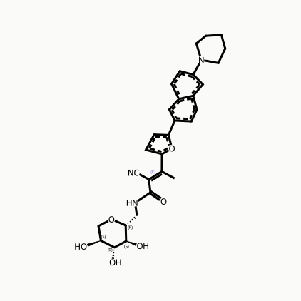 C/C(=C(/C#N)C(=O)NC[C@H]1OC[C@H](O)[C@@H](O)[C@@H]1O)c1ccc(-c2ccc3cc(N4CCCCC4)ccc3c2)o1